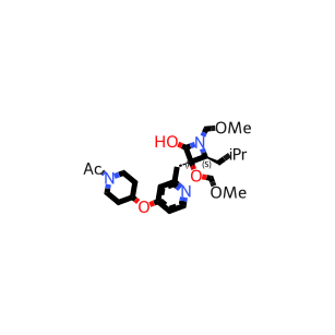 COCO[C@@]1(Cc2cc(OC3CCN(C(C)=O)CC3)ccn2)C(O)N(COC)[C@H]1CC(C)C